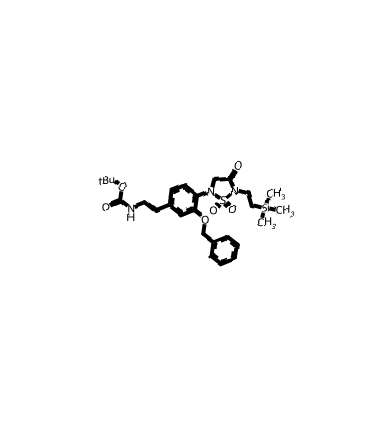 CC(C)(C)OC(=O)NCCc1ccc(N2CC(=O)N(CC[Si](C)(C)C)S2(=O)=O)c(OCc2ccccc2)c1